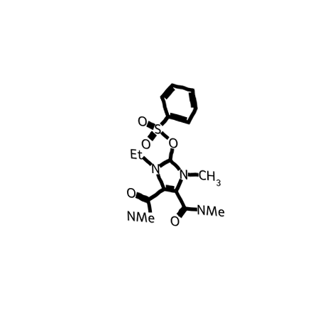 CCN1C(C(=O)NC)=C(C(=O)NC)N(C)C1OS(=O)(=O)c1ccccc1